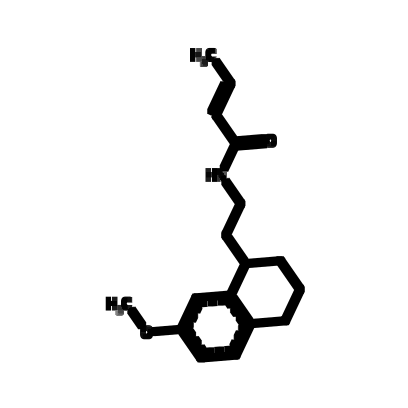 CC=CC(=O)NCCC1CCCc2ccc(OC)cc21